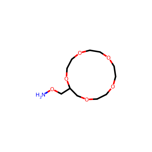 NOCC1COCCOCCOCCOCCO1